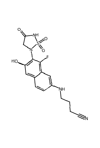 N#CCCCNc1ccc2cc(O)c(N3CC(=O)NS3(=O)=O)c(F)c2c1